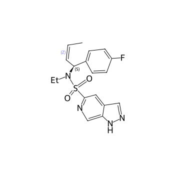 C/C=C\[C@@H](c1ccc(F)cc1)N(CC)S(=O)(=O)c1cc2cn[nH]c2cn1